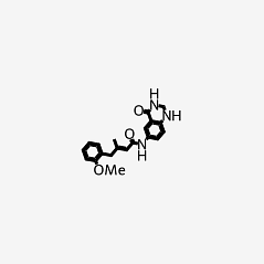 COc1ccccc1C/C(C)=C/C(=O)Nc1ccc2c(c1)C(=O)NCN2